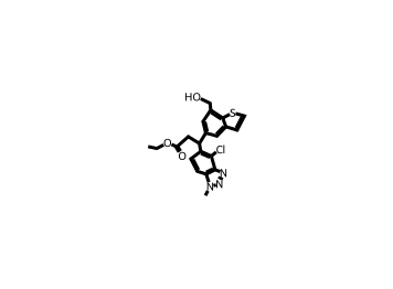 CCOC(=O)CC(c1cc(CO)c2sccc2c1)c1ccc2c(nnn2C)c1Cl